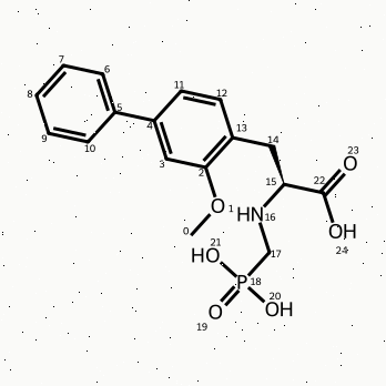 COc1cc(-c2ccccc2)ccc1C[C@H](NCP(=O)(O)O)C(=O)O